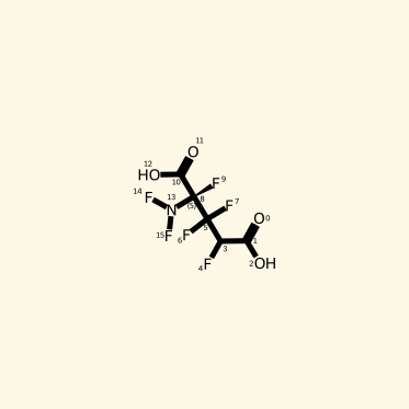 O=C(O)C(F)C(F)(F)[C@@](F)(C(=O)O)N(F)F